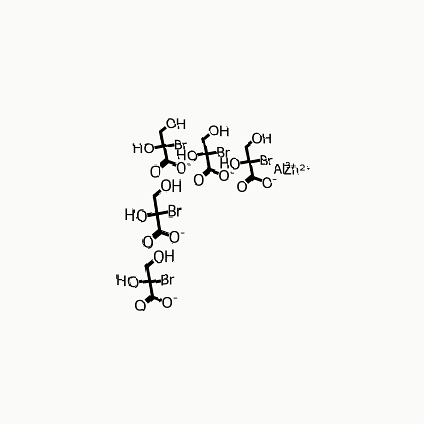 O=C([O-])C(O)(Br)CO.O=C([O-])C(O)(Br)CO.O=C([O-])C(O)(Br)CO.O=C([O-])C(O)(Br)CO.O=C([O-])C(O)(Br)CO.[Al+3].[Zn+2]